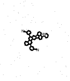 N#Cc1cccc(-c2cc3c4cc5c(cc4c(-c4cccc(C#N)c4)cc3c3ccccc23)-c2cccc3c(C4C=CC=CN4)ccc-5c23)c1